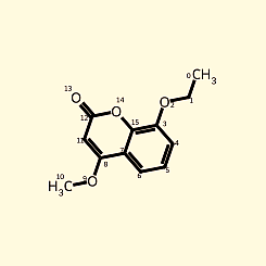 CCOc1cccc2c(OC)cc(=O)oc12